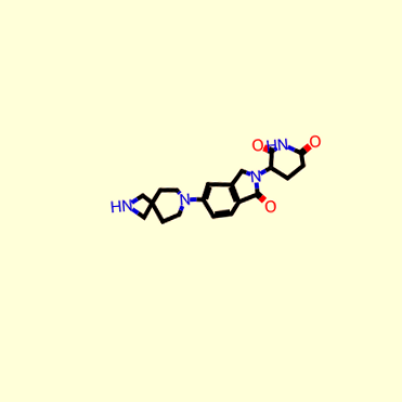 O=C1CCC(N2Cc3cc(N4CCC5(CC4)CNC5)ccc3C2=O)C(=O)N1